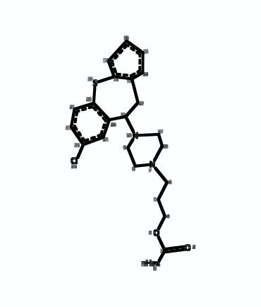 CCCCCCC(=O)OCCCN1CCN(C2Cc3ccccc3Sc3ccc(Cl)cc32)CC1